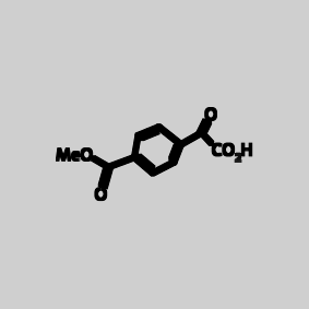 COC(=O)c1ccc(C(=O)C(=O)O)cc1